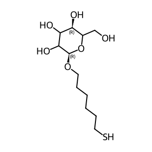 OCC1O[C@@H](OCCCCCCS)C(O)C(O)[C@H]1O